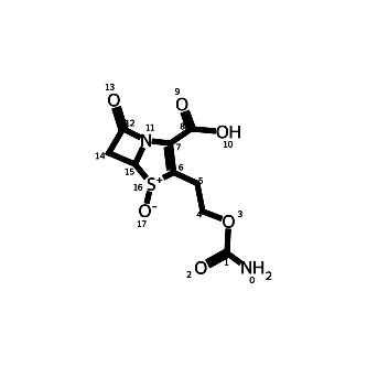 NC(=O)OCCC1=C(C(=O)O)N2C(=O)CC2[S+]1[O-]